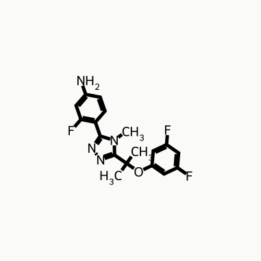 Cn1c(-c2ccc(N)cc2F)nnc1C(C)(C)Oc1cc(F)cc(F)c1